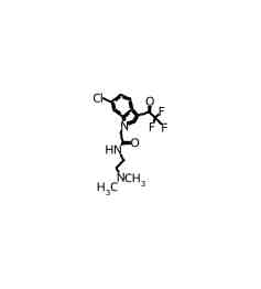 CN(C)CCNC(=O)Cn1cc(C(=O)C(F)(F)F)c2ccc(Cl)cc21